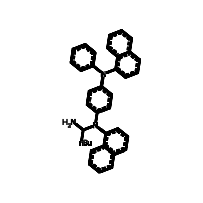 CCCCC(N)N(c1ccc(N(c2ccccc2)c2cccc3ccccc23)cc1)c1cccc2ccccc12